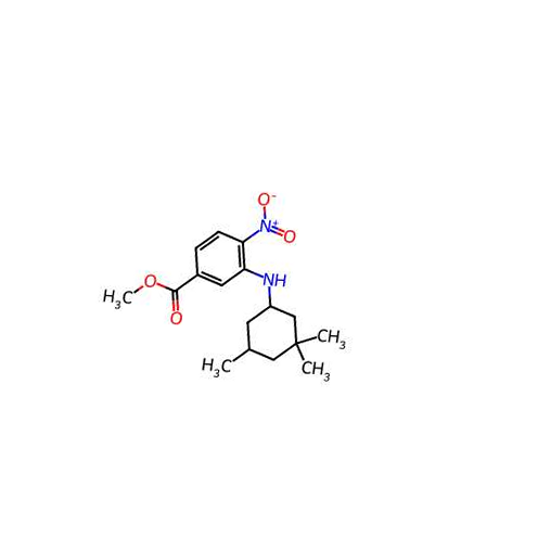 COC(=O)c1ccc([N+](=O)[O-])c(NC2CC(C)CC(C)(C)C2)c1